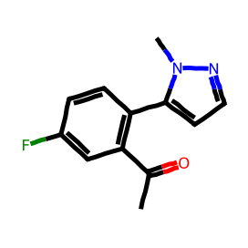 CC(=O)c1cc(F)ccc1-c1ccnn1C